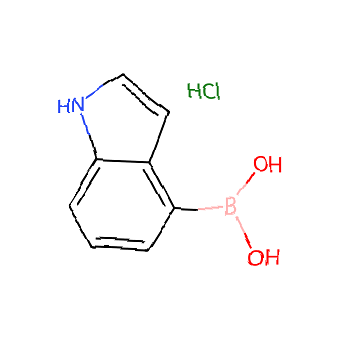 Cl.OB(O)c1cccc2[nH]ccc12